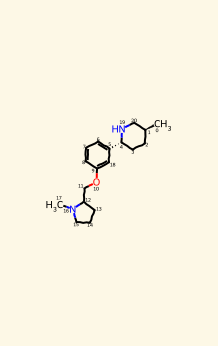 C[C@H]1CC[C@H](c2cccc(OCC3CCCN3C)c2)NC1